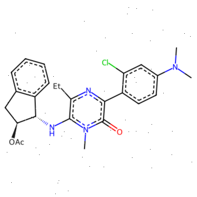 CCc1nc(-c2ccc(N(C)C)cc2Cl)c(=O)n(C)c1N[C@H]1c2ccccc2C[C@@H]1OC(C)=O